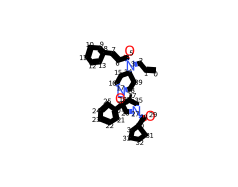 C=CCN(C(=O)/C=C/c1ccccc1)C1CCN(O[C@]2(c3ccccc3)CN(C(=O)C3CCCC3)C[C@@H]2C)CC1